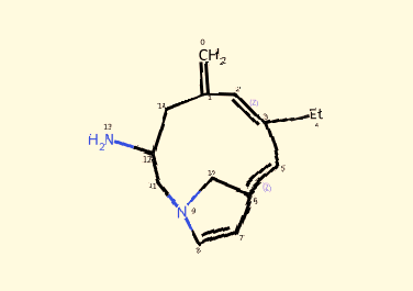 C=C1/C=C(CC)\C=C2\C=CN(C2)CC(N)C1